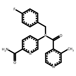 Cc1cnccc1C(=O)N(Cc1ccc(F)cc1)c1ccc(C(N)=O)nc1